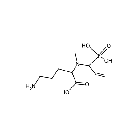 C=CC(N(C)C(CCCN)C(=O)O)P(=O)(O)O